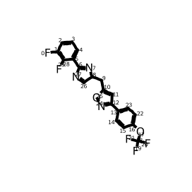 Fc1cccc(C2=NC(Cc3cc(-c4ccc(OC(F)(F)F)cc4)no3)C=N2)c1F